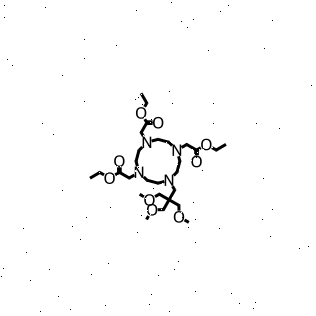 CCOC(=O)CN1CCN(CC(=O)OCC)CCN(CC(COC)(COC)COC)CCN(CC(=O)OCC)CC1